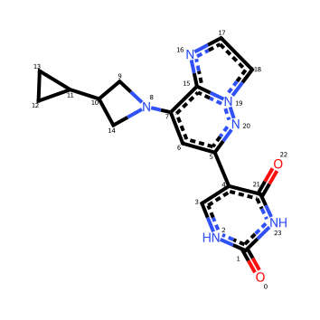 O=c1[nH]cc(-c2cc(N3CC(C4CC4)C3)c3nccn3n2)c(=O)[nH]1